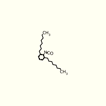 CCCCCCCCc1cccc(CCCCCCCC)c1N=C=O